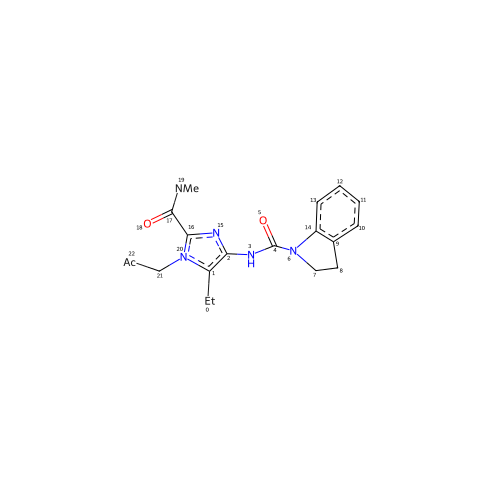 CCc1c(NC(=O)N2CCc3ccccc32)nc(C(=O)NC)n1CC(C)=O